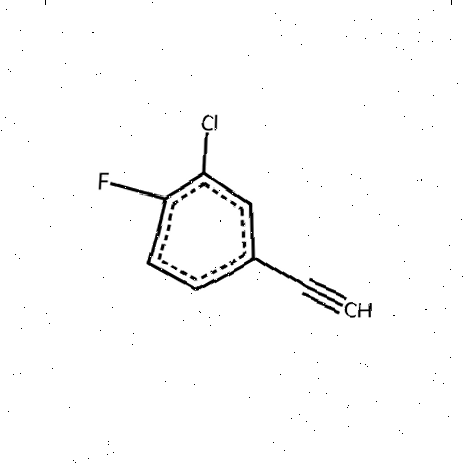 C#Cc1ccc(F)c(Cl)c1